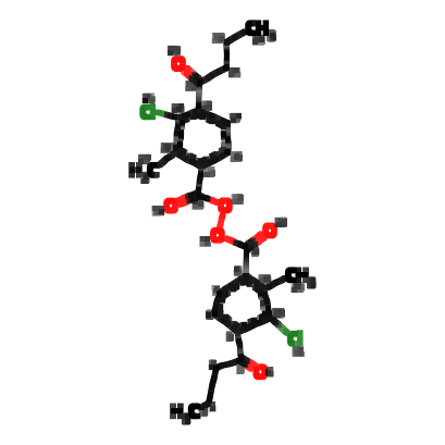 CCCC(=O)c1ccc(C(=O)OOC(=O)c2ccc(C(=O)CCC)c(Cl)c2C)c(C)c1Cl